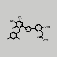 COC(=O)Cc1cc(-c2csc(-c3cc(C(F)(F)F)c(C#N)c(=O)n3Cc3ccc(F)cc3F)c2)ccc1OC